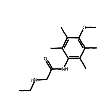 CCNCC(=O)Nc1c(C)c(C)c(OC)c(C)c1C